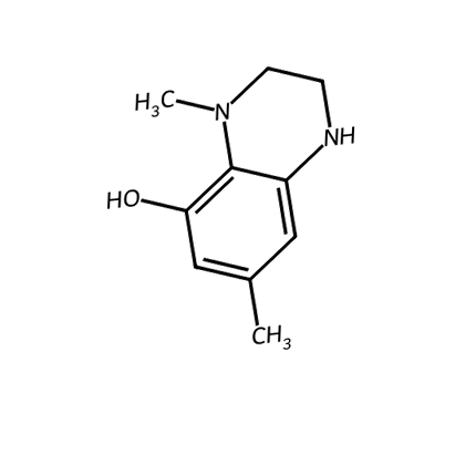 Cc1cc(O)c2c(c1)NCCN2C